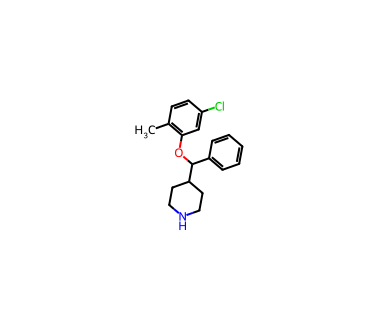 Cc1ccc(Cl)cc1OC(c1ccccc1)C1CCNCC1